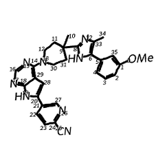 COc1cccc(-c2[nH]c(C3(C)CCN(c4ncnc5[nH]c(-c6ccc(C#N)nc6)cc45)CC3)nc2C)c1